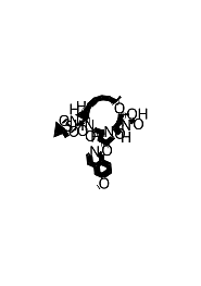 COc1ccc2c(O[C@@H]3C[C@H]4C(=O)N[C@]5(C(=O)NS(=O)(=O)C6(C)CC6)C[C@H]5C=CCC[C@@H](C)O[C@@H](C)[C@H](NC(=O)O)C(=O)N4C3)nccc2c1